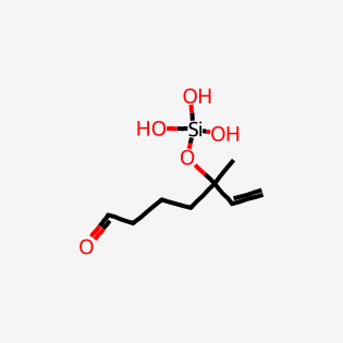 C=CC(C)(CCCC=O)O[Si](O)(O)O